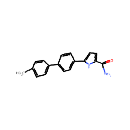 NC(=O)c1ccc(-c2ccc(-c3ccc(C(=O)O)cc3)cc2)[nH]1